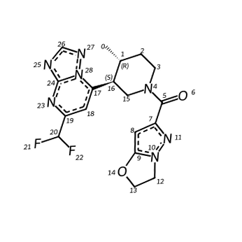 C[C@@H]1CCN(C(=O)c2cc3n(n2)CCO3)C[C@H]1c1cc(C(F)F)nc2ncnn12